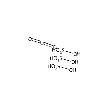 O=S(=O)(O)O.O=S(=O)(O)O.O=S(=O)(O)O.[O]=[U]=[O]